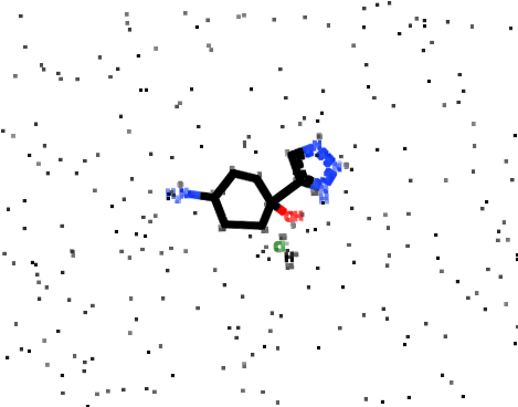 NC1CCC(O)(c2cnn[nH]2)CC1.[Cl-].[H+]